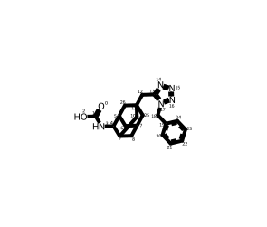 O=C(O)NC1C2CC3CC1CC(Cc1nnnn1Cc1ccccc1)(C3)C2